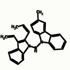 C=Cc1c(/C=C\C)n(Bn2c3ccccc3c3cc(C)ccc32)c2ccccc12